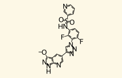 COc1n[nH]c2ncc(-c3cn(-c4c(F)ccc(NS(=O)(=O)c5cccnc5)c4F)nn3)cc12